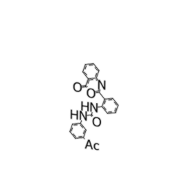 CC(=O)c1cccc(NC(=O)Nc2ccccc2-c2nc3ccccc3c(=O)o2)c1